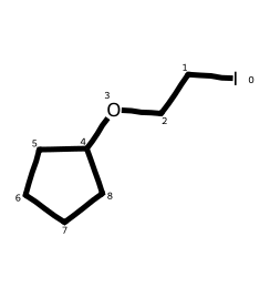 ICCOC1CCCC1